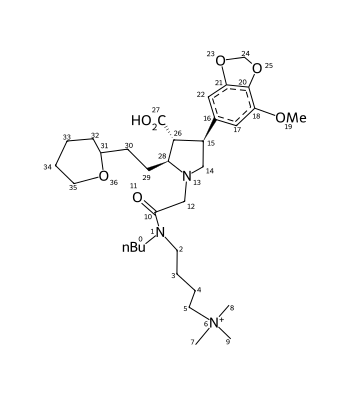 CCCCN(CCCC[N+](C)(C)C)C(=O)CN1C[C@H](c2cc(OC)c3c(c2)OCO3)[C@@H](C(=O)O)[C@@H]1CCC1CCCCO1